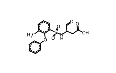 Cc1cccc(S(=O)(=O)NC(C=O)CC(=O)O)c1Oc1ccccc1